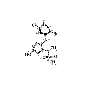 CN(c1cc(O)ccc1Nc1nc(Cl)ncc1Br)S(C)(=O)=O